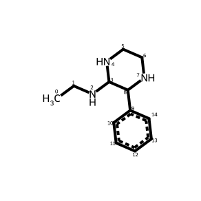 CCNC1NCCNC1c1ccccc1